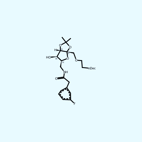 CCCCCCCCCCCCOC[C@@]12O[C@@H](CNC(=O)Cc3cccc(F)c3)[C@@H](O)[C@@H]1OC(C)(C)O2